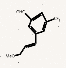 COCC=Cc1cc(C=O)cc(C(F)(F)F)c1